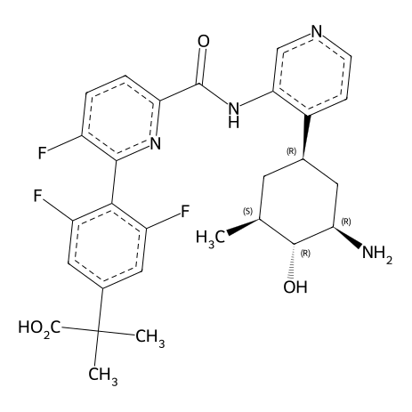 C[C@H]1C[C@@H](c2ccncc2NC(=O)c2ccc(F)c(-c3c(F)cc(C(C)(C)C(=O)O)cc3F)n2)C[C@@H](N)[C@@H]1O